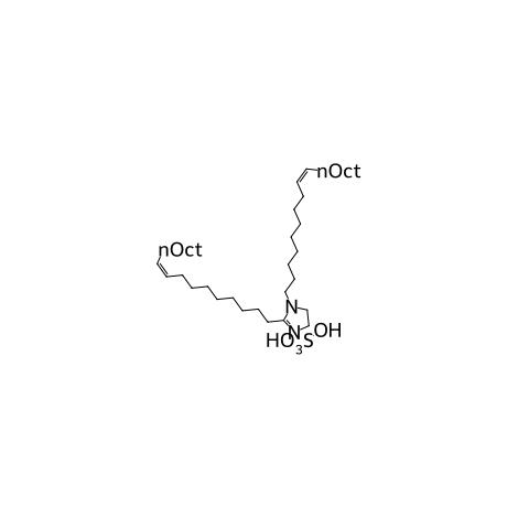 CCCCCCCC/C=C\CCCCCCCCC1=NCCN1CCCCCCCC/C=C\CCCCCCCC.O=S(=O)(O)O